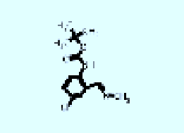 C/N=C/c1cc(Cl)ccc1NC(=O)OC(C)(C)C